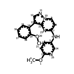 COc1ccc(Nc2ccn3ncc(-c4ccccc4OC)c3n2)cn1